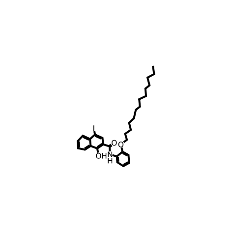 CCCCCCCCCCCCCCOc1ccccc1NC(=O)c1cc(I)c2ccccc2c1O